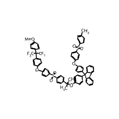 COc1ccc(C(c2ccc(Oc3ccc(S(=O)(=O)c4ccc(C(C)(C)Oc5ccc(C6(c7ccc(Oc8ccc(S(=O)(=O)c9ccc(C)cc9)cc8)cc7)c7ccccc7-c7ccccc76)cc5)cc4)cc3)cc2)(C(F)(F)F)C(F)(F)F)cc1